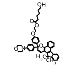 CC1(C)c2ccccc2-c2c1c1c(c3ccccc23)OC(c2ccc(OCCOC(=O)CCCCCO)cc2)(c2ccc(N3CCOCC3)cc2)C=C1